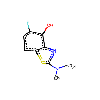 CC(C)(C)N(C(=O)O)c1nc2c(O)c(F)ccc2s1